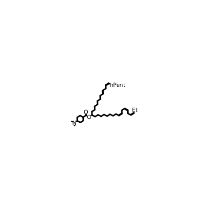 CC/C=C\C/C=C\C/C=C\CCCCCCCCC(CCCCCCC/C=C/C/C=C\CCCCC)OC(=O)C1CCC(N(C)C)CC1